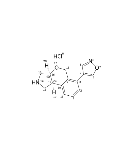 Cl.c1cc(-c2cnoc2)c2c(c1)[C@H]1CNC[C@H]1OC2